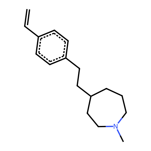 C=Cc1ccc(CCC2CCCN(C)CC2)cc1